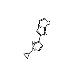 c1cn2cc(-c3ccn(C4CC4)n3)nc2o1